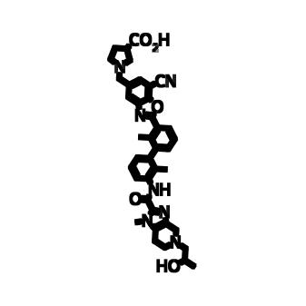 Cc1c(NC(=O)c2nc3c(n2C)CCN(CC(C)O)C3)cccc1-c1cccc(-c2nc3cc(CN4CCC(C(=O)O)C4)cc(C#N)c3o2)c1C